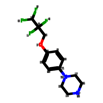 FC(F)C(F)(F)COc1ccc(N2CC[N]CC2)cc1